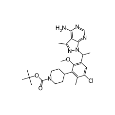 COc1c(C(C)n2nc(C)c3c(N)ncnc32)cc(Cl)c(C)c1C1CCN(C(=O)OC(C)(C)C)CC1